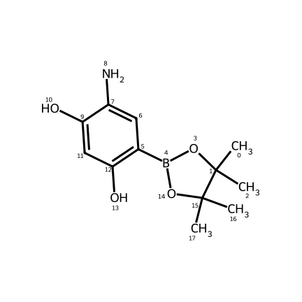 CC1(C)OB(c2cc(N)c(O)cc2O)OC1(C)C